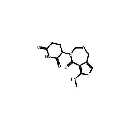 CNc1scc2c1C(=O)N(C1CCC(=O)NC1=O)COC2